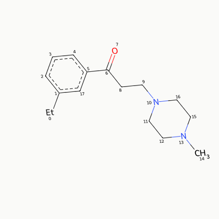 CCc1cccc(C(=O)CCN2CCN(C)CC2)c1